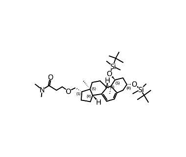 CN(C)C(=O)CCOC[C@H]1CC[C@H]2C3=CC=C4C[C@@H](O[Si](C)(C)C(C)(C)C)C[C@H](O[Si](C)(C)C(C)(C)C)[C@]4(C)[C@H]3CC[C@]12C